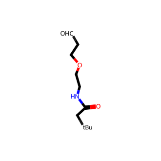 CC(C)(C)CC(=O)NCCOCCC=O